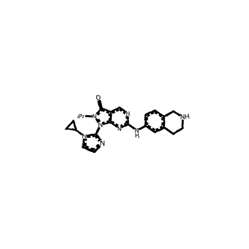 CC(C)n1c(=O)c2cnc(Nc3ccc4c(c3)CCNC4)nc2n1-c1nccn1C1CC1